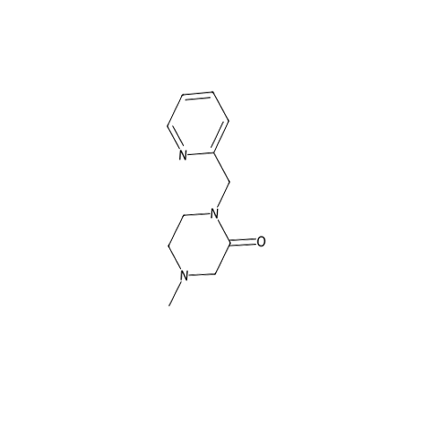 CN1CCN(Cc2ccccn2)C(=O)C1